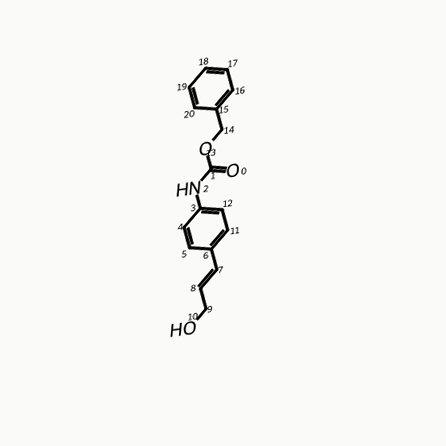 O=C(Nc1ccc(C=CCO)cc1)OCc1ccccc1